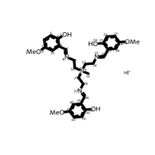 COc1ccc(O)c(C=NCC[N+](C)(CCN=Cc2cc(OC)ccc2O)CCN=Cc2cc(OC)ccc2O)c1.[I-]